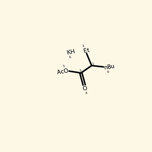 CCCCC(CC)C(=O)OC(C)=O.[KH]